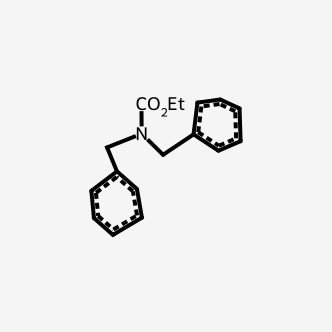 CCOC(=O)N(Cc1ccccc1)Cc1ccccc1